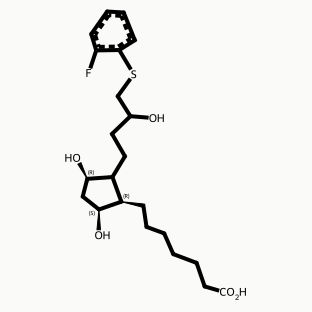 O=C(O)CCCCCC[C@@H]1C(CCC(O)CSc2ccccc2F)[C@H](O)C[C@@H]1O